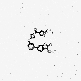 Cn1cc(C(=O)N2CC(Oc3cncc(-c4ccc5c(c4)sc(=O)n5C)c3)C2)cn1